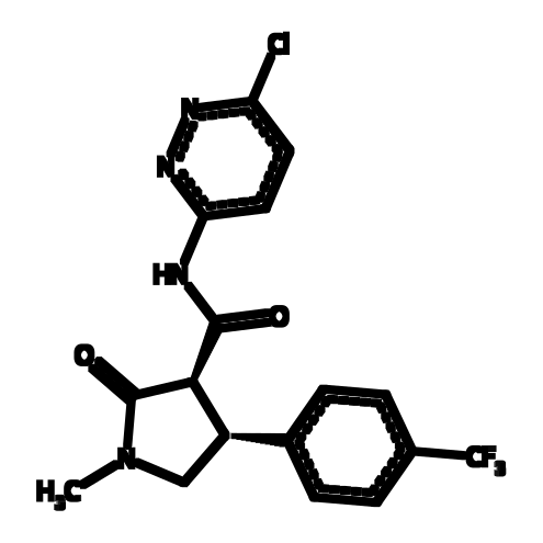 CN1C[C@@H](c2ccc(C(F)(F)F)cc2)[C@H](C(=O)Nc2ccc(Cl)nn2)C1=O